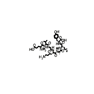 CSCC[C@H](NC(=O)[C@H](C)NC(=O)[C@H](CCCCN)NC(=O)CNC(=O)[C@@H](NC(=O)[C@@H](N)CCC(=O)O)C(C)C)C(=O)N[C@@H](Cc1ccc(O)cc1)C(=O)O